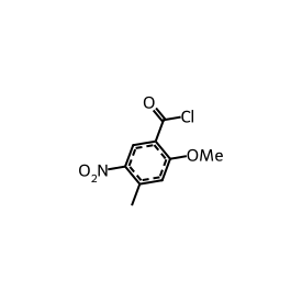 COc1cc(C)c([N+](=O)[O-])cc1C(=O)Cl